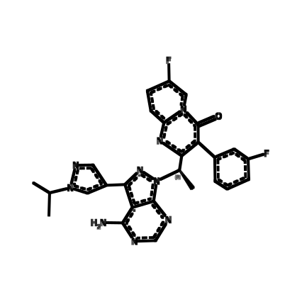 CC(C)n1cc(-c2nn([C@H](C)c3nc4ccc(F)cn4c(=O)c3-c3cccc(F)c3)c3ncnc(N)c23)cn1